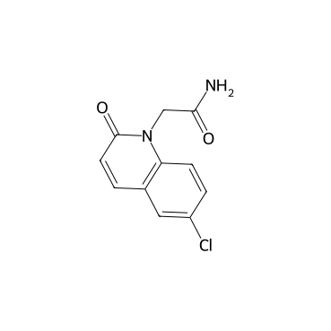 NC(=O)Cn1c(=O)ccc2cc(Cl)ccc21